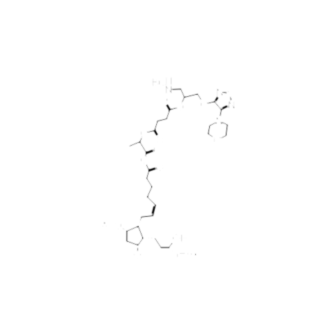 CCCCCC[C@@H](O)CC[C@H]1[C@H](C/C=C\CCCC(=O)OC(=O)C(C)OC(=O)CCC(=O)OC(CNC(C)(C)C)COc2nsnc2N2CCOCC2)[C@H](OC(C)=O)C[C@@H]1O